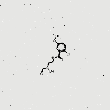 COc1ccc(Cl)c(C(=O)NCC[As](O)C=O)c1